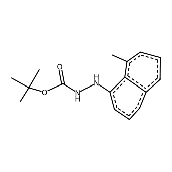 Cc1cccc2cccc(NNC(=O)OC(C)(C)C)c12